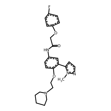 Cn1nccc1-c1cc(NC(=O)COc2ccc(F)cc2)ccc1OCCN1CCCCC1